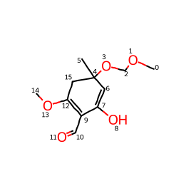 COCOC1(C)C=C(O)C(C=O)=C(OC)C1